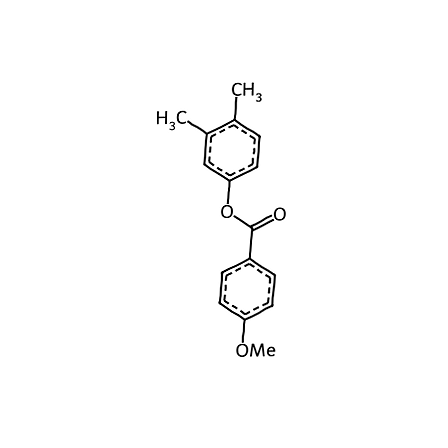 COc1ccc(C(=O)Oc2ccc(C)c(C)c2)cc1